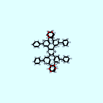 c1ccc(-c2cc(-c3nc(-c4cc(-c5ccccc5)nc(-c5ccccc5)c4)c(-c4cc(-c5ccccc5)nc(-c5ccccc5)c4)nc3-c3cc(-c4ccccc4)nc(-c4ccccc4)c3)cc(-c3ccccc3)n2)cc1